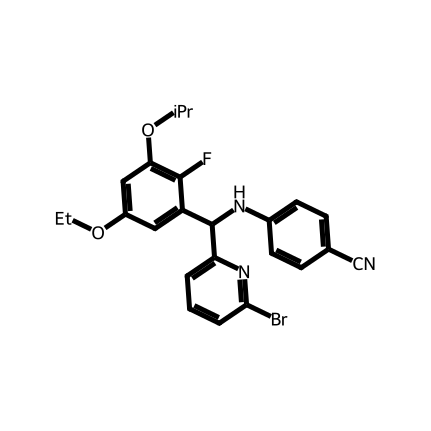 CCOc1cc(OC(C)C)c(F)c(C(Nc2ccc(C#N)cc2)c2cccc(Br)n2)c1